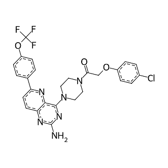 Nc1nc(N2CCN(C(=O)COc3ccc(Cl)cc3)CC2)c2nc(-c3ccc(OC(F)(F)F)cc3)ccc2n1